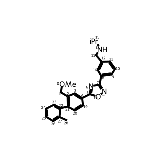 COCc1cc(-c2nc(-c3cccc(CNC(C)C)c3)no2)ccc1-c1ccccc1C